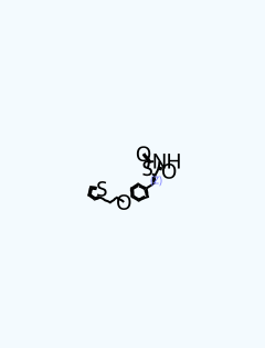 O=C1NC(=O)/C(=C/c2ccc(OCCc3cccs3)cc2)S1